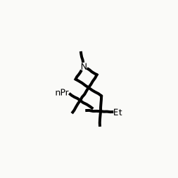 CCCC(C)(C)C1(CC(C)(C)CC)CN(C)C1